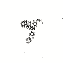 Cc1ccc(-n2nc(-c3ccc(CN4CCOCC4)cc3)cc2NC(=O)c2cnn3cccnc23)cc1